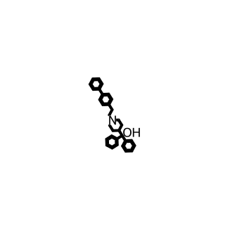 OC(c1ccccc1)(c1ccccc1)C1CCN(CCc2ccc(-c3ccccc3)cc2)CC1